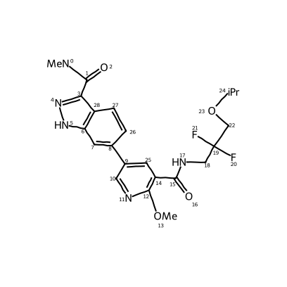 CNC(=O)c1n[nH]c2cc(-c3cnc(OC)c(C(=O)NCC(F)(F)COC(C)C)c3)ccc12